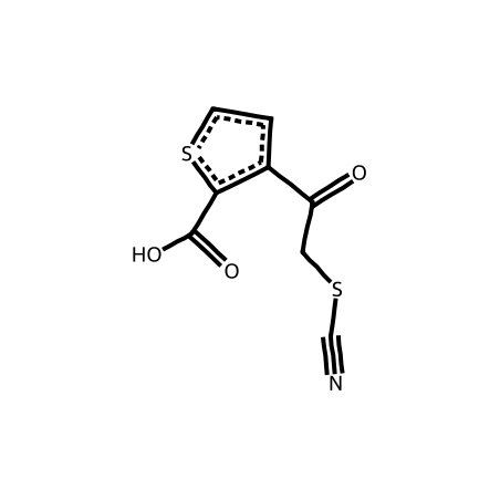 N#CSCC(=O)c1ccsc1C(=O)O